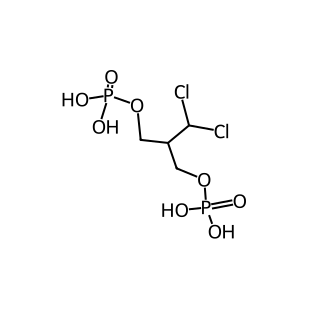 O=P(O)(O)OCC(COP(=O)(O)O)C(Cl)Cl